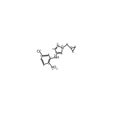 O=[N+]([O-])c1ccc(Cl)cc1Nc1cnn(CC2CC2)c1